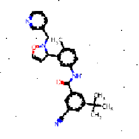 Cc1ccc(NC(=O)c2cc(C#N)cc(C(C)(C)C)c2)cc1C1C=CON1Cc1cccnc1